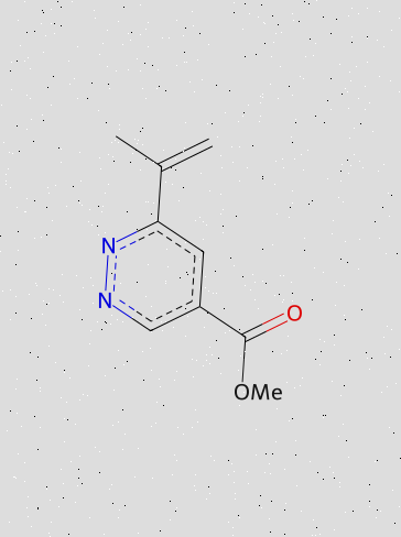 C=C(C)c1cc(C(=O)OC)cnn1